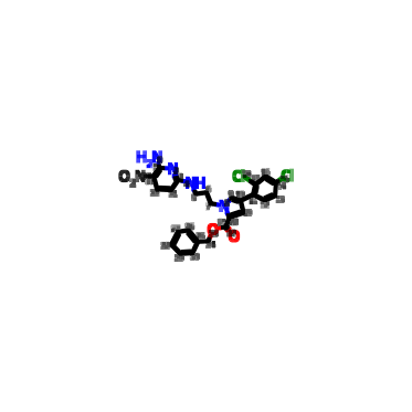 Nc1nc(NCCCn2cc(-c3ccc(Cl)cc3Cl)cc2C(=O)OCc2ccccc2)ccc1[N+](=O)[O-]